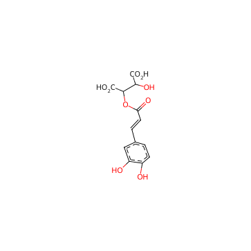 O=C(C=Cc1ccc(O)c(O)c1)OC(C(=O)O)C(O)C(=O)O